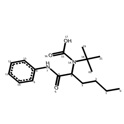 CCCCC(C(=O)Nc1ccccc1)N(C(=O)O)C(C)(C)C